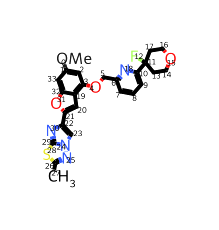 COc1cc(OCc2cccc(C3(F)CCOCC3)n2)c2cc(-c3cn4nc(C)sc4n3)oc2c1